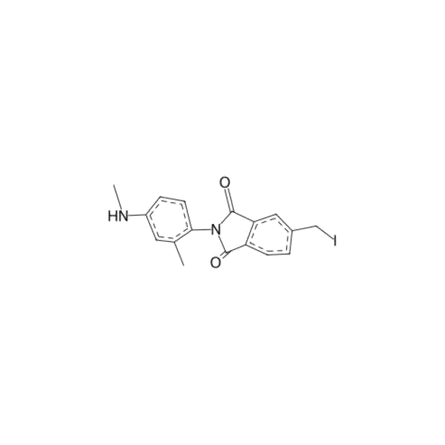 CNc1ccc(N2C(=O)c3ccc(CI)cc3C2=O)c(C)c1